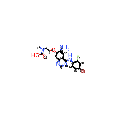 CN(CCOc1cc2ncnc(Nc3ccc(Br)cc3F)c2cc1N)C(=O)O